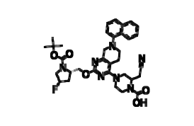 CC(C)(C)OC(=O)N1C[C@H](F)C[C@H]1COc1nc2c(c(N3CCN(C(=O)O)C(CC#N)C3)n1)CCN(c1cccc3ccccc13)C2